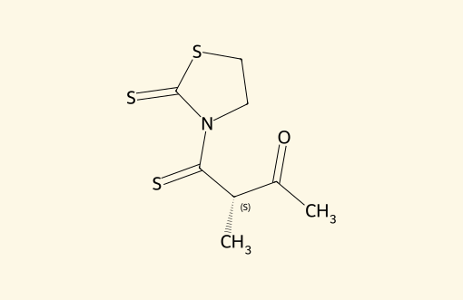 CC(=O)[C@H](C)C(=S)N1CCSC1=S